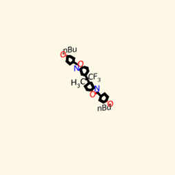 CCCCOc1ccc(-c2nc3cc(C(C)(c4ccc5oc(-c6ccc(OCCCC)cc6)nc5c4)C(F)(F)F)ccc3o2)cc1